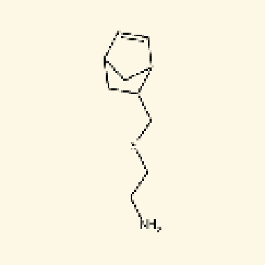 NCCSCC1CC2C=CC1C2